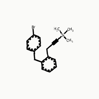 C[Si](C)(C)C#CCc1ccccc1Cc1ccc(Br)cc1